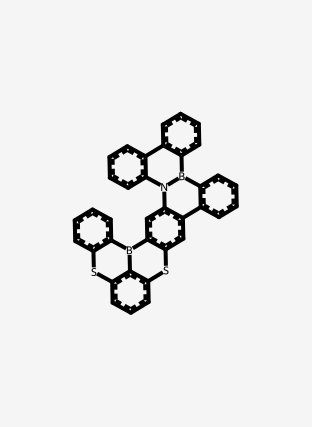 c1ccc2c(c1)Sc1cccc3c1B2c1cc2c(cc1S3)-c1ccccc1B1c3ccccc3-c3ccccc3N12